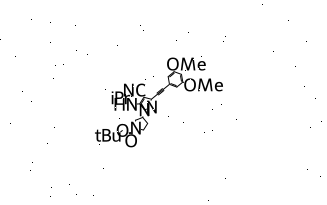 COc1cc(C#Cc2nn([C@H]3CCN(C(=O)OC(C)(C)C)C3)c(NC(C)C)c2C#N)cc(OC)c1